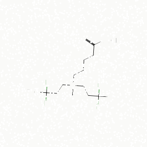 C=C(CCCC[Si](C)(CCC(F)(F)C(F)(F)F)CCC(F)(F)C(F)(F)F)C(=O)O